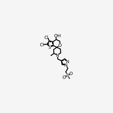 CC1CC2(CCN1Cc1cnn(CCS(C)(=O)=O)c1)OCC(O)c1c2sc(Cl)c1Cl